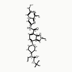 CCN(C(=O)OC(C)(C)C)C1CCN(c2ccc(C(=O)Nc3cn4cc(CF)nc(C)c4n3)c3nn(C)cc23)CC1